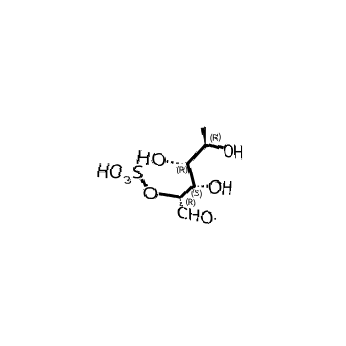 C[C@@H](O)[C@@H](O)[C@H](O)[C@H]([C]=O)OS(=O)(=O)O